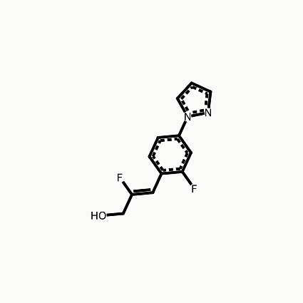 OCC(F)=Cc1ccc(-n2cccn2)cc1F